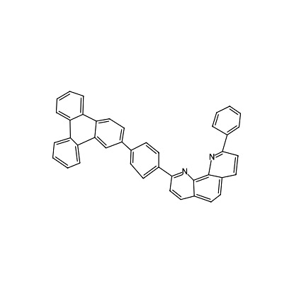 c1ccc(-c2ccc3ccc4ccc(-c5ccc(-c6ccc7c8ccccc8c8ccccc8c7c6)cc5)nc4c3n2)cc1